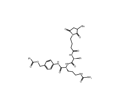 CC(C)C(=O)OCc1ccc(NC(=O)[C@H](CCCNC(N)=O)NC(=O)[C@@H](NC(=O)CCCN2C(=O)CC(C(C)(C)C)C2=O)C(C)C)cc1